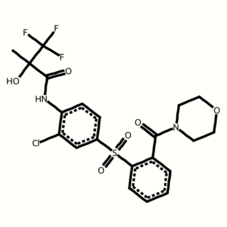 CC(O)(C(=O)Nc1ccc(S(=O)(=O)c2ccccc2C(=O)N2CCOCC2)cc1Cl)C(F)(F)F